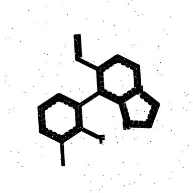 C=Cc1ccn2ccnc2c1-c1cccc(C)c1F